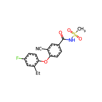 CCc1cc(F)ccc1Oc1ccc(C(=O)NS(C)(=O)=O)cc1C#N